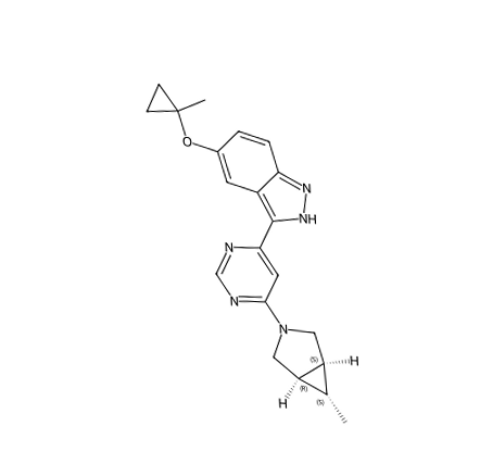 C[C@@H]1[C@H]2CN(c3cc(-c4[nH]nc5ccc(OC6(C)CC6)cc45)ncn3)C[C@@H]12